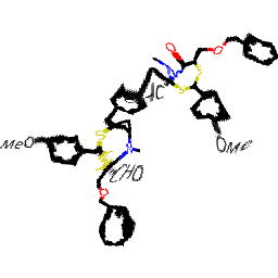 COc1ccc(C2SC(COCc3ccccc3)C(=O)N(C)[C@@](C=O)(Cc3ccc(CC45CC4N(C)[C@@](C=O)(COCc4ccccc4)SC(c4ccc(OC)cc4)S5)cc3)S2)cc1